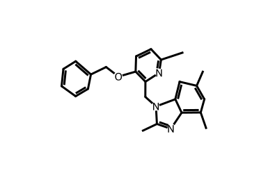 Cc1cc(C)c2nc(C)n(Cc3nc(C)ccc3OCc3ccccc3)c2c1